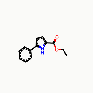 CCOC(=O)c1ccc(-c2ccccc2)[nH]1